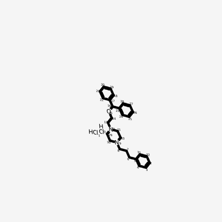 Cl.Cl.c1ccc(CCCN2CCN(CCOC(c3ccccc3)c3ccccc3)CC2)cc1